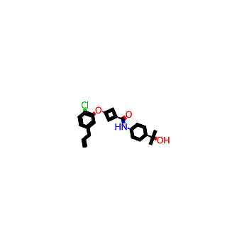 C=CCc1ccc(Cl)c(O[C@H]2C[C@H](C(=O)N[C@H]3CC[C@H](C(C)(C)O)CC3)C2)c1